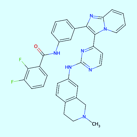 CN1CCc2ccc(Nc3nccc(-c4c(-c5cccc(NC(=O)c6cccc(F)c6F)c5)nc5ccccn45)n3)cc2C1